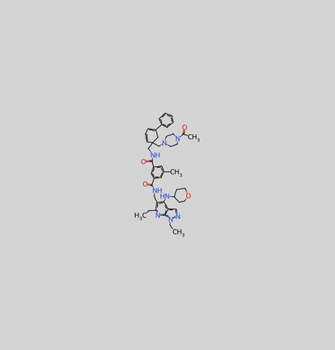 CCc1nc2c(cnn2CC)c(NC2CCOCC2)c1CNC(=O)c1cc(C)cc(C(=O)NCC2(CN3CCN(C(C)=O)CC3)C=CC=C(c3ccccc3)C2)c1